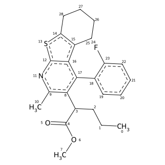 CCCC(C(=O)OC)c1c(C)nc2sc3c(c2c1-c1ccccc1F)CCCC3